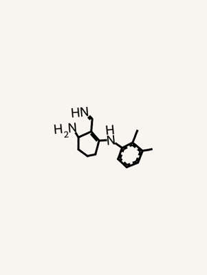 Cc1cccc(NC2=C(C=N)C(N)CCC2)c1C